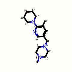 Cc1cc(CN2CCN(C)CC2)cnc1N1CCCCC1